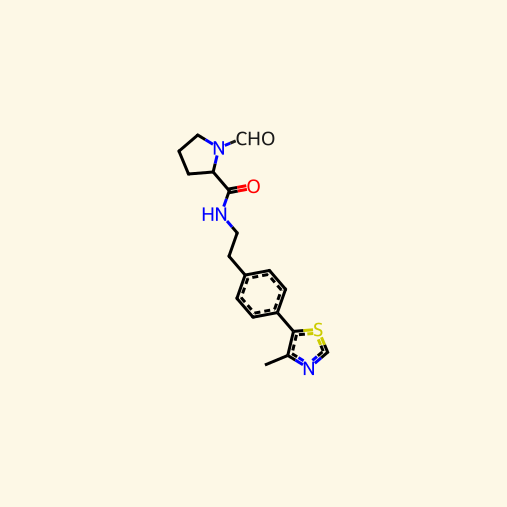 Cc1ncsc1-c1ccc(CCNC(=O)C2CCCN2C=O)cc1